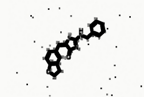 O=C1N=C(NCc2ccccc2)SC1=Cc1ccc2c(c1)CCO2